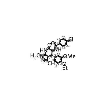 CCOc1ccc([C@H]2c3c(C)nn(C)c3NC(=O)[C@@H]2NC(=O)c2ccc(Cl)cc2)cc1OC